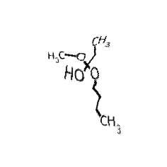 CCCCOC(O)(CC)OC